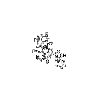 CC(=O)Cn1c(C(=O)N[C@@H](C)c2ccccn2)cc(NC(=O)c2cc(F)cc(C(F)(F)F)c2)c1[C@H](C)c1cc(F)ccc1Cl